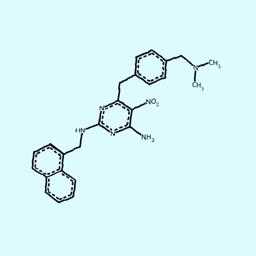 CN(C)Cc1ccc(Cc2nc(NCc3cccc4ccccc34)nc(N)c2[N+](=O)[O-])cc1